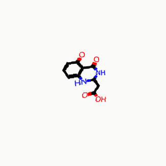 O=C(O)CC1NC(=O)C2C(=O)C=CC=C2N1